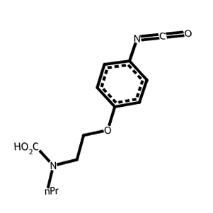 CCCN(CCOc1ccc(N=C=O)cc1)C(=O)O